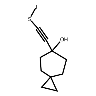 OC1(C#CSI)CCC2(CC1)CC2